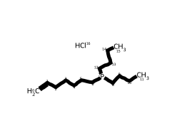 C=CCCCCCP(CCCC)CCCC.Cl